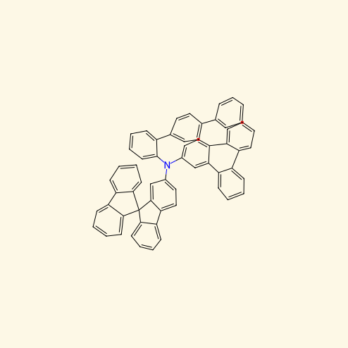 c1ccc(-c2ccc(-c3ccccc3N(c3ccc4c(c3)C3(c5ccccc5-c5ccccc53)c3ccccc3-4)c3ccc4c5ccccc5c5ccccc5c4c3)cc2)cc1